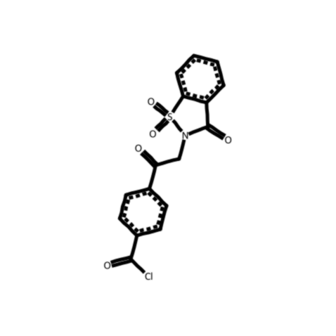 O=C(Cl)c1ccc(C(=O)CN2C(=O)c3ccccc3S2(=O)=O)cc1